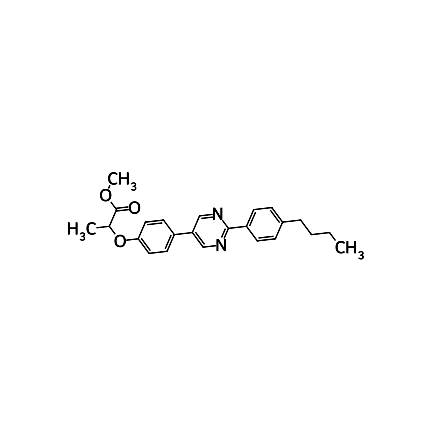 CCCCc1ccc(-c2ncc(-c3ccc(OC(C)C(=O)OC)cc3)cn2)cc1